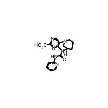 O=C(O)c1ncc2c(n1)N(C(=O)Nc1ccccn1)[C@H]1CCCN2C1